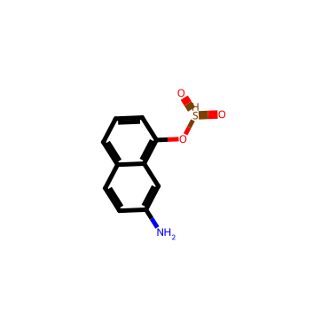 Nc1ccc2cccc(O[SH](=O)=O)c2c1